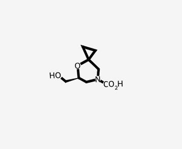 O=C(O)N1C[C@@H](CO)OC2(CC2)C1